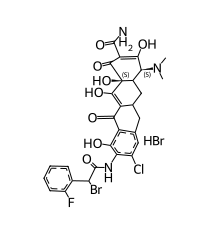 Br.CN(C)[C@@H]1C(O)=C(C(N)=O)C(=O)[C@@]2(O)C(O)=C3C(=O)c4c(cc(Cl)c(NC(=O)C(Br)c5ccccc5F)c4O)CC3CC12